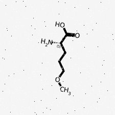 COCCC[C@H](N)C(=O)O